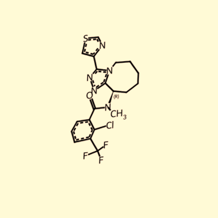 CN(C(=O)c1cccc(C(F)(F)F)c1Cl)[C@@H]1CCCCCn2c(-c3cscn3)nnc21